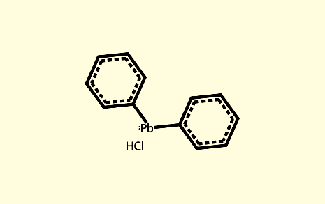 Cl.c1cc[c]([Pb][c]2ccccc2)cc1